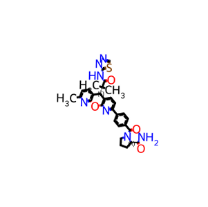 Cc1ccc2c(n1)Oc1nc(-c3ccc(C(=O)N4CCC[C@@H]4C(N)=O)cc3)ccc1[C@H]2C(C)(C)C(=O)Nc1nncs1